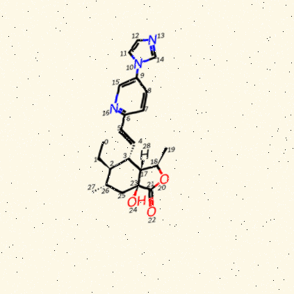 CC[C@H]1[C@H](/C=C/c2ccc(-n3ccnc3)cn2)[C@@H]2[C@@H](C)OC(=O)[C@]2(O)C[C@@H]1C